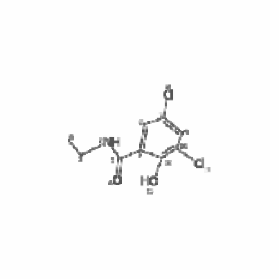 CCNC(=O)c1cc(Cl)cc(Cl)c1O